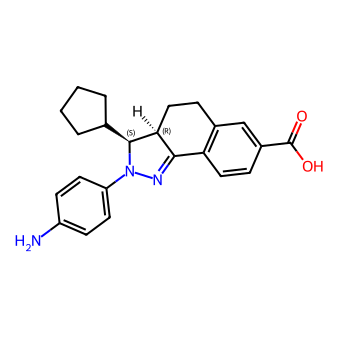 Nc1ccc(N2N=C3c4ccc(C(=O)O)cc4CC[C@@H]3[C@@H]2C2CCCC2)cc1